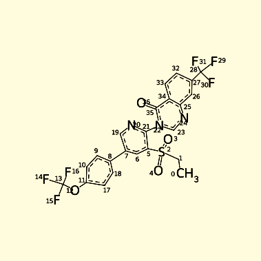 CCS(=O)(=O)c1cc(-c2ccc(OC(F)(F)F)cc2)cnc1-n1cnc2cc(C(F)(F)F)ccc2c1=O